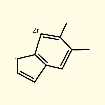 Cc1cc2c(cc1C)C=C[CH]2.[Zr]